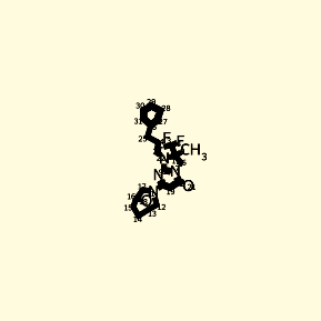 CC1(C(F)(F)F)Cn2c(nc(N3CC4CCC(C3)O4)cc2=O)N1CCCc1ccccc1